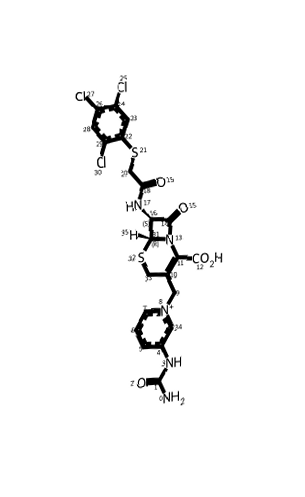 NC(=O)Nc1ccc[n+](CC2=C(C(=O)O)N3C(=O)[C@H](NC(=O)CSc4cc(Cl)c(Cl)cc4Cl)[C@H]3SC2)c1